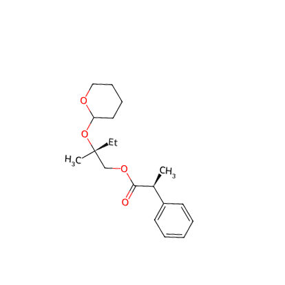 CC[C@](C)(COC(=O)[C@@H](C)c1ccccc1)OC1CCCCO1